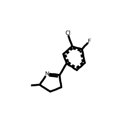 CC1CCC(c2ccc(F)c(Cl)c2)=N1